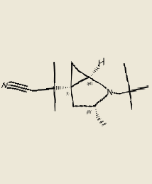 C[C@@H]1C[C@@]2(C(C)(C)C#N)C[C@H]2N1C(C)(C)C